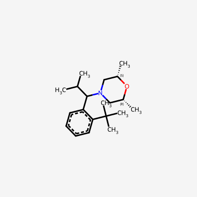 CC(C)C(c1ccccc1C(C)(C)C)N1C[C@@H](C)O[C@@H](C)C1